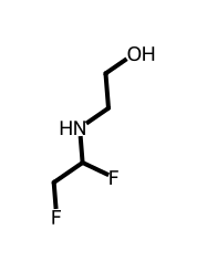 OCCNC(F)CF